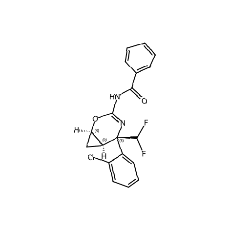 O=C(NC1=N[C@@](c2ccccc2Cl)(C(F)F)[C@H]2C[C@H]2O1)c1ccccc1